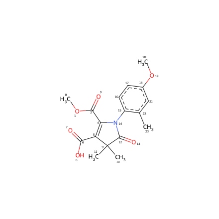 COC(=O)C1=C(C(=O)O)C(C)(C)C(=O)N1c1ccc(OC)cc1C